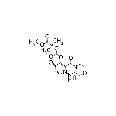 COC(=O)C(C)(C)OC(=O)Oc1c2n(ccc1=O)N[C@@H]1COCCN1C2=O